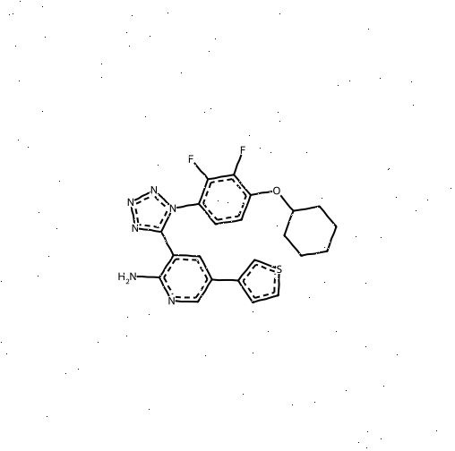 Nc1ncc(-c2ccsc2)cc1-c1nnnn1-c1ccc(OC2CCCCC2)c(F)c1F